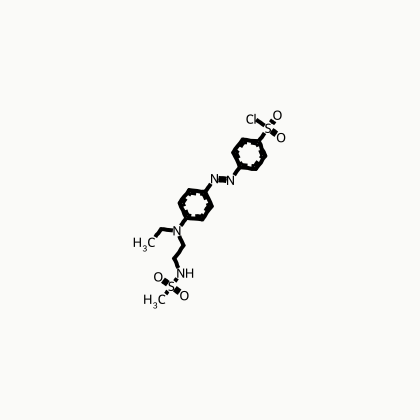 CCN(CCNS(C)(=O)=O)c1ccc(N=Nc2ccc(S(=O)(=O)Cl)cc2)cc1